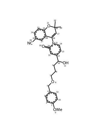 COc1ccc(COCCCC(O)c2ccn(C3=CC(C)(C)Oc4ccc(C#N)cc43)c(=O)c2)cc1